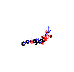 CCc1c2c(nc3ccc(OC(=O)N4CCC(N5CCCCC5)CC4)cc13)-c1cc3c(c(=O)n1C2)COC(=O)[C@@]3(CC)OC(=O)CN(C(=O)CNC)C(=O)OC(C)(C)C